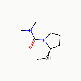 CB[C@@H]1CCCN1C(=O)N(C)C